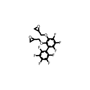 Fc1c(F)c(F)c(-c2c(F)c(F)c(F)c(OCC3CO3)c2OCC2CO2)c(F)c1F